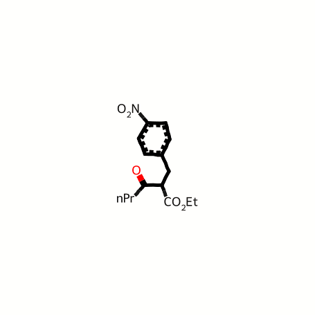 CCCC(=O)C(Cc1ccc([N+](=O)[O-])cc1)C(=O)OCC